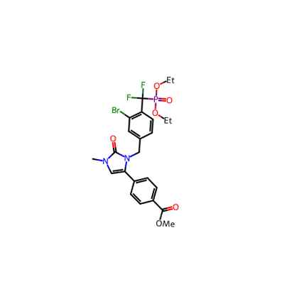 CCOP(=O)(OCC)C(F)(F)c1ccc(Cn2c(-c3ccc(C(=O)OC)cc3)cn(C)c2=O)cc1Br